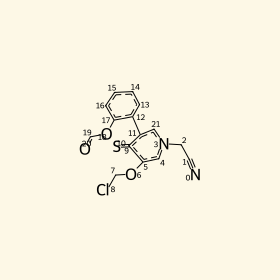 N#CCn1cc(OCCl)c(=S)c(-c2ccccc2OC=O)c1